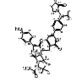 CC(=O)N(c1ccc(-c2ccc(CN(C(=O)C(N)c3ccc(O)cc3)[C@@H]3C(=O)N4[C@@H]3SC(C)(C)[C@@H]4C(=O)O)c(=O)[nH]2)cc1)N1CCCC1=O